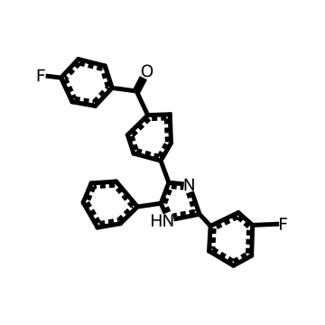 O=C(c1ccc(F)cc1)c1ccc(-c2nc(-c3cccc(F)c3)[nH]c2-c2ccccc2)cc1